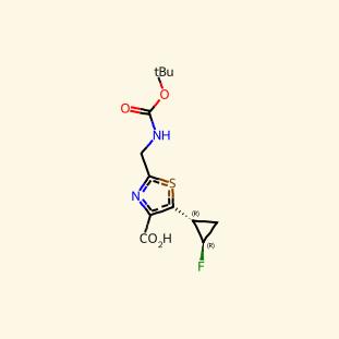 CC(C)(C)OC(=O)NCc1nc(C(=O)O)c([C@@H]2C[C@H]2F)s1